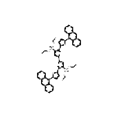 CCOP(=O)(OCC)c1cc(-c2cc(P(=O)(OCC)OCC)c(-c3ccc(-c4c5ccccc5cc5ccccc45)s3)s2)sc1-c1ccc(-c2c3ccccc3cc3ccccc23)s1